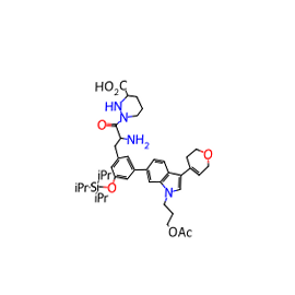 CC(=O)OCCCn1cc(C2=CCOCC2)c2ccc(-c3cc(CC(N)C(=O)N4CCCC(C(=O)O)N4)cc(O[Si](C(C)C)(C(C)C)C(C)C)c3)cc21